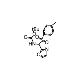 Cc1ccc(S(=O)(=O)C(NC(=O)OC(C)(C)C)c2ncco2)cc1